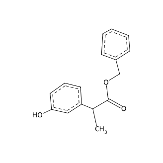 CC(C(=O)OCc1ccccc1)c1cccc(O)c1